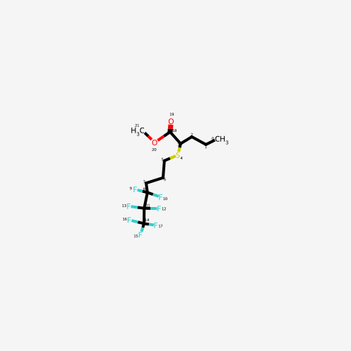 CCCC(SCCCC(F)(F)C(F)(F)C(F)(F)F)C(=O)OC